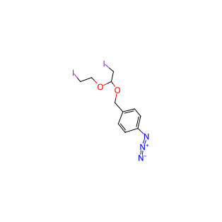 [N-]=[N+]=Nc1ccc(COC(CI)OCCI)cc1